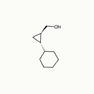 OC[C@@H]1C[C@H]1C1CCCCC1